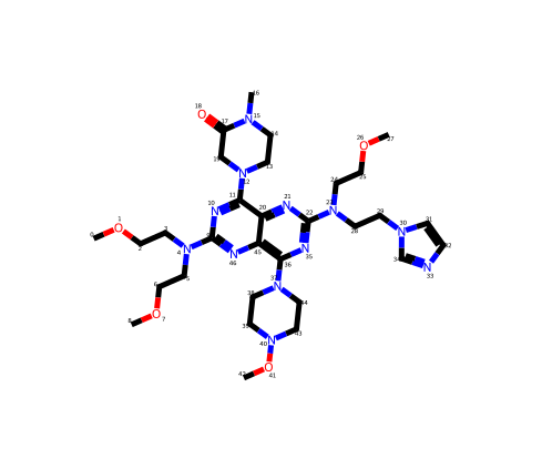 COCCN(CCOC)c1nc(N2CCN(C)C(=O)C2)c2nc(N(CCOC)CCn3ccnc3)nc(N3CCN(OC)CC3)c2n1